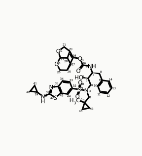 CC1(CN(C[C@@H](O)[C@H](Cc2ccccc2)NC(=O)OC2=C3COC4OCC2CC34)S(=O)(=O)c2ccc3nc(NC4CC4)sc3c2)CC1